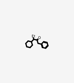 CCC(C(=O)Cc1ccccc1)C1CCCCC1